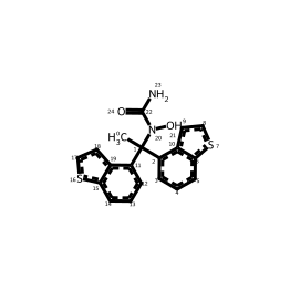 CC(c1cccc2sccc12)(c1cccc2sccc12)N(O)C(N)=O